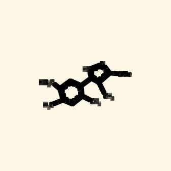 COc1n[nH]c(-c2cc(C(=O)O)c(C)cc2C)c1C